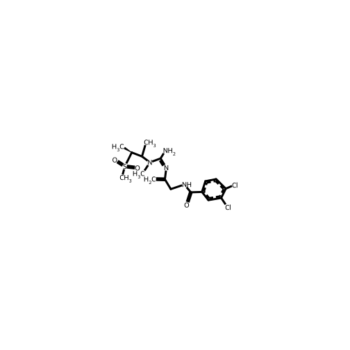 C=C(CNC(=O)c1ccc(Cl)c(Cl)c1)/N=C(/N)N(C)C(C)[C@H](C)S(C)(=O)=O